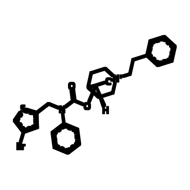 O=C(O[C@H]1C[N+]2(CCc3ccccc3)CCC1CC2)N(Cc1cc(Br)cs1)c1ccccc1